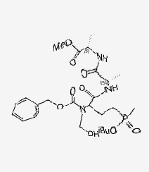 COC(=O)[C@H](C)NC(=O)[C@H](C)NC(=O)C(CCP(C)(=O)OCC(C)C)N(CO)C(=O)OCc1ccccc1